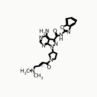 CN(C)C/C=C/C(=O)N1CCC(n2nc(C(=O)Nc3nc4ccccc4o3)c3c(N)ncnc32)C1